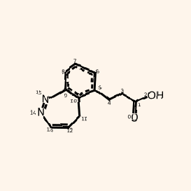 O=C(O)CCc1cccc2c1CC=CN=N2